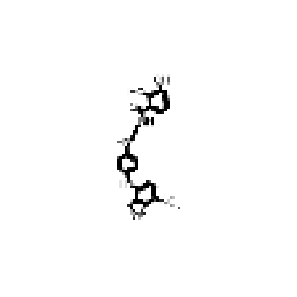 O=C(NCCNc1ccc(Nc2ccc([N+](=O)[O-])c3nonc23)cc1)c1cccc(O)c1O